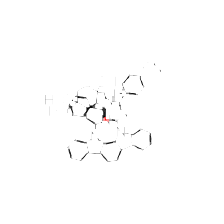 CC1(C)CCC(C)(C)c2cc(-n3c4ccccc4c4ccc5c6ccccc6n(-c6nc(-c7ccccc7)nc(-c7ccc(C#N)cc7)n6)c5c43)ccc21